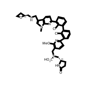 COc1nc(-c2cccc(-c3cccc(-c4ccc5c(CNC[C@@H]6CCO6)cn(C)c5n4)c3Cl)c2Cl)ccc1CN(C[C@@H]1CCC(=O)N1)C(=O)O